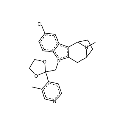 Cc1cnccc1C1(Cn2c3c(c4cc(Cl)ccc42)C2CCC(C3)N2C)OCCO1